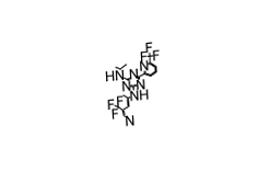 C=N/C=C(\C=C(/C)Nc1nc(NC(C)C)nc(-c2cccc(C(F)(F)F)n2)n1)C(F)(F)F